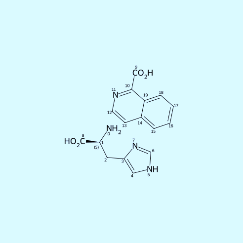 N[C@@H](Cc1c[nH]cn1)C(=O)O.O=C(O)c1nccc2ccccc12